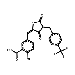 O=C(O)c1cc(C=C2SC(=O)N(Cc3ccc(C(F)(F)F)cc3)C2=O)ccc1O